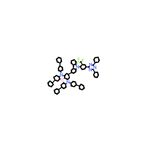 FC(F)(F)c1cc(-c2nc(-c3ccccc3)nc(-c3ccccc3)n2)ccc1-n1c2ccccc2c2cc(-c3cc4c5c(c3)N(c3ccc(-c6ccccc6)cc3)c3ccc(-c6ccccc6)cc3B5c3cc(-c5ccccc5)ccc3N4c3ccc(-c4ccccc4)cc3)ccc21